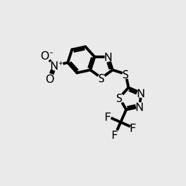 O=[N+]([O-])c1ccc2nc(Sc3nnc(C(F)(F)F)s3)sc2c1